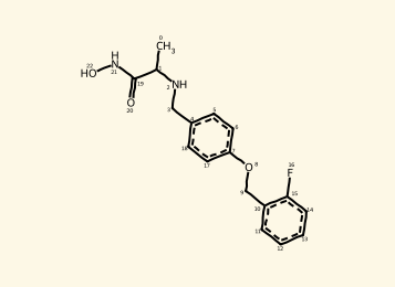 CC(NCc1ccc(OCc2ccccc2F)cc1)C(=O)NO